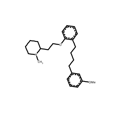 COc1cccc(CCCCc2ccccc2OCCC2CCCCN2C)c1